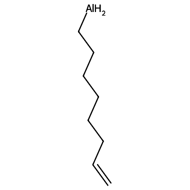 C=CCCCCC[CH2][AlH2]